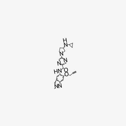 C#CCOc1cc2nn(C)cc2cc1NC(=O)c1cnc(N2CC[C@@H](NC3CC3)C2)cn1